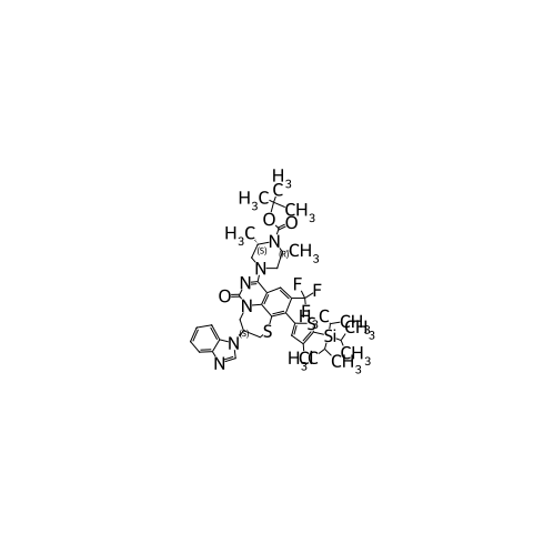 CC(C)[Si](c1sc(-c2c(C(F)(F)F)cc3c(N4C[C@@H](C)N(C(=O)OC(C)(C)C)[C@@H](C)C4)nc(=O)n4c3c2SC[C@@H](n2cnc3ccccc32)C4)cc1Cl)(C(C)C)C(C)C